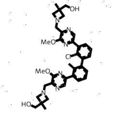 COc1nc(-c2cccc(-c3cccc(-c4cnc(CN5CC(C)(CO)C5)c(OC)n4)c3Cl)c2C)cnc1CN1CC(C)(CO)C1